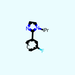 CC(C)n1ccnc1-c1cccc(F)c1